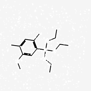 CCO[Si](OCC)(OCC)c1cc(OC)c(C)cc1C